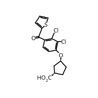 O=C(c1cccs1)c1ccc(O[C@H]2CC[C@@H](C(=O)O)C2)c(Cl)c1Cl